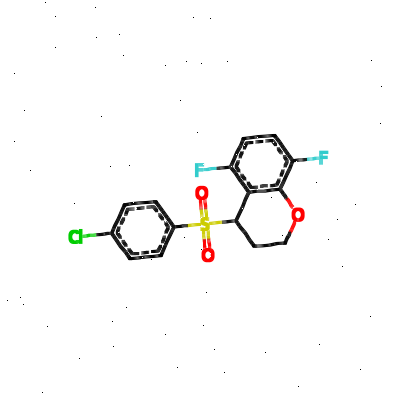 O=S(=O)(c1ccc(Cl)cc1)C1CCOc2c(F)ccc(F)c21